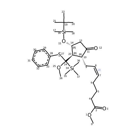 COC(=O)CCC/C=C\C[C@H]1C(=O)C[C@@H](O[Si](C)(C)C(C)(C)C)[C@@H]1C(OC)(Sc1ccccc1)[Si](C)(C)C